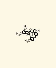 Cc1ccc(Cc2ccc3c(c2)[C@@H](NC(=O)[C@@H](N)Cc2c(C)cc(C)cc2C)CCN3)cc1